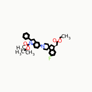 CCOC(=O)C[C@@H]1CC2(CCN(c3ccc4c(c3)CC(c3ccccc3)N4C(=O)OC(C)(C)C)CC2)c2cc(F)ccc21